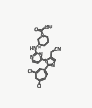 CC(C)(C)C(=O)N1CCC[C@H](Nc2nccc(-n3c(CC#N)cnc3C3=CC=C(Cl)CC(Cl)=C3)n2)C1